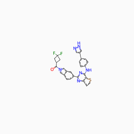 O=C(C1CC(F)(F)C1)n1cc2ccc(-c3nc(Nc4ccc(-c5cn[nH]c5)cc4)c4sccc4n3)cc2c1